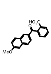 COc1ccc2cc(C(=O)c3ccccc3C(=O)O)ccc2c1